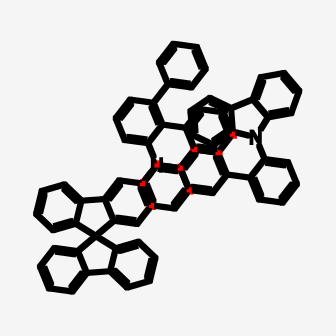 c1ccc(-c2ccccc2-c2c(-c3ccccc3)cccc2N(c2ccc(-c3ccccc3-n3c4ccccc4c4ccccc43)cc2)c2ccc3c(c2)-c2ccccc2C32c3ccccc3-c3ccccc32)cc1